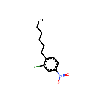 [CH2]CCCCCc1ccc([N+](=O)[O-])cc1Cl